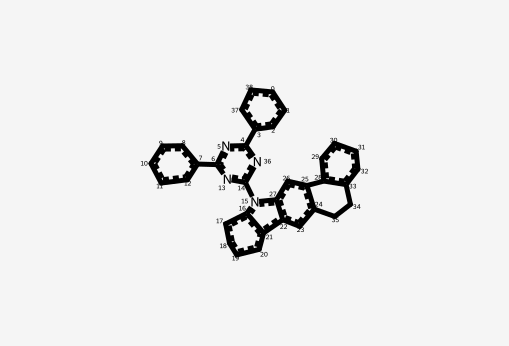 c1ccc(-c2nc(-c3ccccc3)nc(-n3c4ccccc4c4cc5c(cc43)-c3ccccc3CC5)n2)cc1